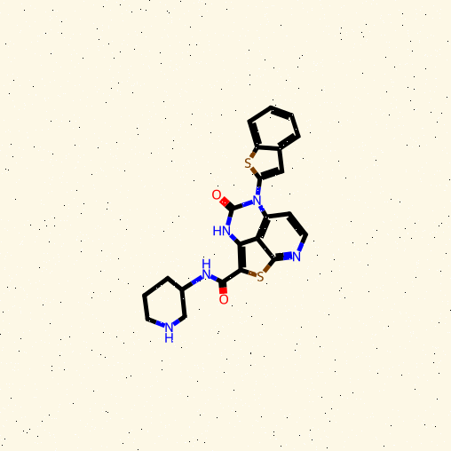 O=C(NC1CCCNC1)c1sc2nccc3c2c1NC(=O)N3c1cc2ccccc2s1